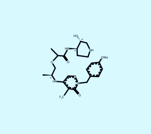 COc1ccc(Cn2ncc(N[C@@H](C)COC(C)C(=O)N[C@@H]3CCNC[C@H]3O)c(C(F)(F)F)c2=O)cc1